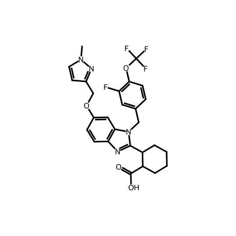 Cn1ccc(COc2ccc3nc(C4CCCCC4C(=O)O)n(Cc4ccc(OC(F)(F)F)c(F)c4)c3c2)n1